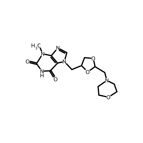 Cn1c(=O)[nH]c(=O)c2c1ncn2CC1COC(CN2CCOCC2)O1